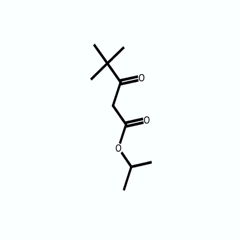 CC(C)OC(=O)CC(=O)C(C)(C)C